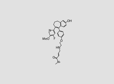 COc1cnc(C2=C(c3ccc(OCCNC/C=C/C(=O)N(C)C)cc3)c3ccc(O)cc3CCC2)cc1F